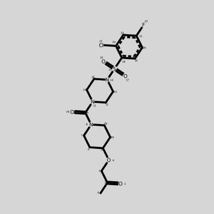 CC(=O)COC1CCN(C(=O)N2CCN(S(=O)(=O)c3ccc(F)cc3Cl)CC2)CC1